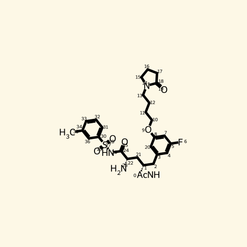 CC(=O)N[C@@H](Cc1cc(F)cc(OCCCCN2CCCC2=O)c1)C[C@H](N)C(=O)NS(=O)(=O)c1cccc(C)c1